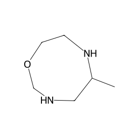 CC1CNCOCCN1